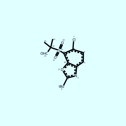 CC(C)(C)c1nc2ccc(Cl)c(S(=O)(=O)C(C)(C)C=O)c2o1